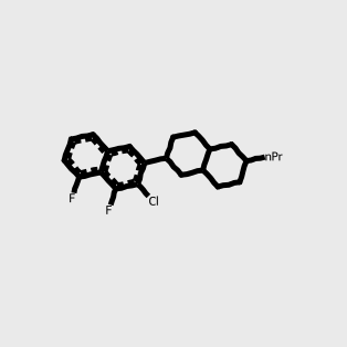 CCCC1CCC2CC(c3cc4cccc(F)c4c(F)c3Cl)CCC2C1